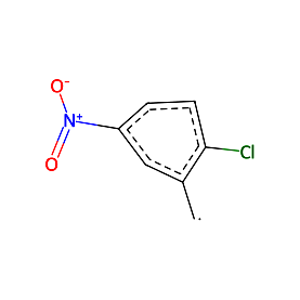 [CH2]c1cc([N+](=O)[O-])ccc1Cl